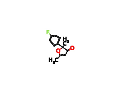 CC1=CC(=O)C(C)(c2ccc(F)cc2)O1